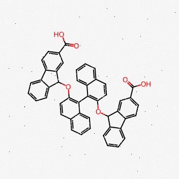 O=C(O)c1ccc2c(c1)C(Oc1ccc3ccccc3c1-c1c(OC3c4ccccc4-c4ccc(C(=O)O)cc43)ccc3ccccc13)c1ccccc1-2